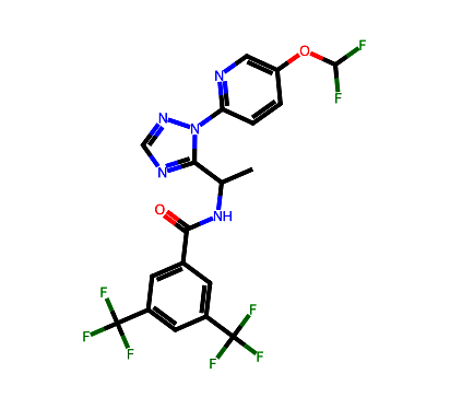 CC(NC(=O)c1cc(C(F)(F)F)cc(C(F)(F)F)c1)c1ncnn1-c1ccc(OC(F)F)cn1